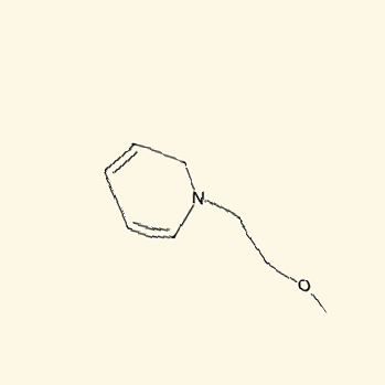 COCCN1C=CC=CC1